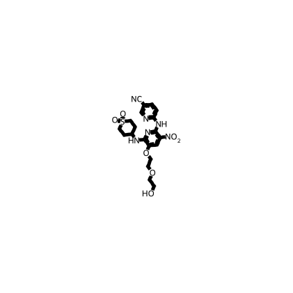 N#Cc1ccc(Nc2nc(NC3CCS(=O)(=O)CC3)c(OCCOCCO)cc2[N+](=O)[O-])nc1